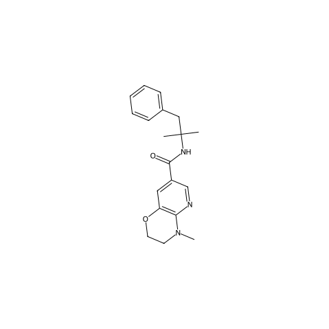 CN1CCOc2cc(C(=O)NC(C)(C)Cc3ccccc3)cnc21